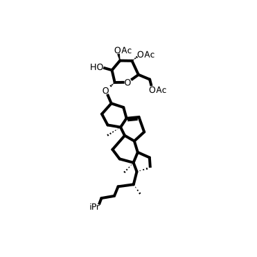 CC(=O)OCC1O[C@H](OC2CC[C@@]3(C)C(=CCC4C3CC[C@@]3(C)C4CC[C@@H]3[C@H](C)CCCC(C)C)C2)C(O)[C@@H](OC(C)=O)[C@@H]1OC(C)=O